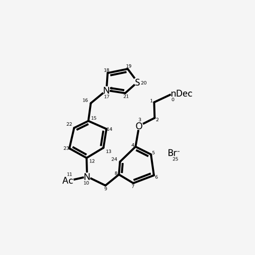 CCCCCCCCCCCCOc1cccc(CN(C(C)=O)c2ccc(C[n+]3ccsc3)cc2)c1.[Br-]